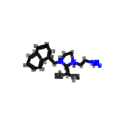 N#CC(C#N)=C1N(CCN)CCN1Cc1cccc2ccccc12